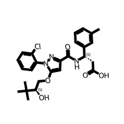 Cc1cccc([C@H](CC(=O)O)NC(=O)c2cc(OC[C@@H](O)C(C)(C)C)n(-c3ccccc3Cl)n2)c1